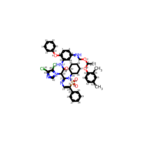 CCC(OCNc1ccc(Oc2ccccc2)c(NC(=O)C(C2=NC=C(c3ccccc3)S(=O)(=O)N2C2CCCCC2)n2cnc(Cl)c2Cl)c1)Oc1ccc(C)cc1C